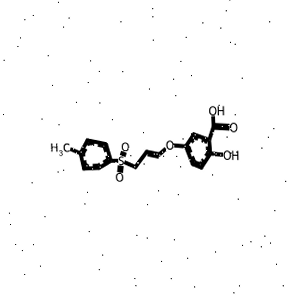 Cc1ccc(S(=O)(=O)CC=COc2ccc(O)c(C(=O)O)c2)cc1